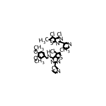 COc1ccc(CNc2nc(-c3cccnc3)nc3sc(C)c(Cl)c23)cc1OC.Cc1sc2nc(-c3cccnc3)nc(Cl)c2c1Cl